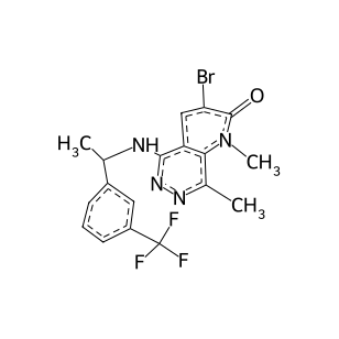 Cc1nnc(NC(C)c2cccc(C(F)(F)F)c2)c2cc(Br)c(=O)n(C)c12